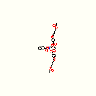 C=CC(=O)OCCCCCCOc1ccc(C(=O)Oc2ccc(OC(=O)c3ccc(OCCCCCCOC(=O)C=C)cc3)c(/C=N/OC(=O)c3ccc4ccccc4c3)c2)cc1